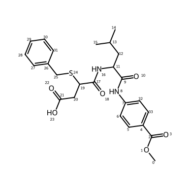 COC(=O)c1ccc(NC(=O)C(CC(C)C)NC(=O)C(CC(=O)O)SCc2ccccc2)cc1